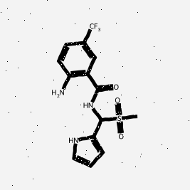 CS(=O)(=O)C(NC(=O)c1cc(C(F)(F)F)ccc1N)c1ccc[nH]1